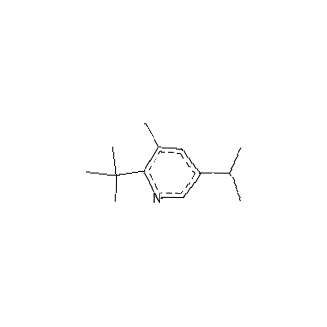 Cc1cc(C(C)C)cnc1C(C)(C)C